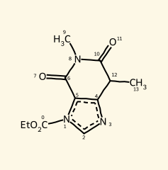 CCOC(=O)n1cnc2c1C(=O)N(C)C(=O)C2C